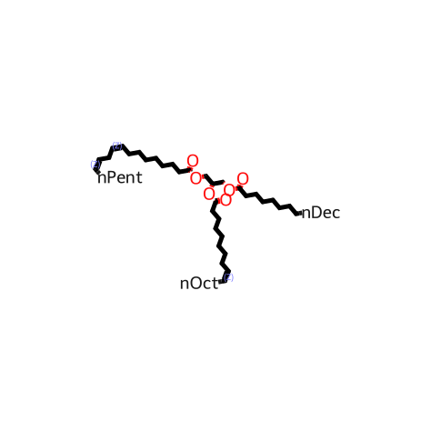 CCCCC/C=C\C/C=C\CCCCCCCC(=O)OCC(COC(=O)CCCCCCCCCCCCCCCCC)OC(=O)CCCCCCC/C=C\CCCCCCCC